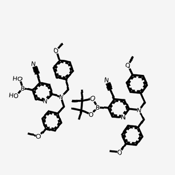 COc1ccc(CN(Cc2ccc(OC)cc2)c2cc(C#N)c(B(O)O)cn2)cc1.COc1ccc(CN(Cc2ccc(OC)cc2)c2cc(C#N)c(B3OC(C)(C)C(C)(C)O3)cn2)cc1